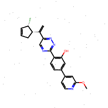 C=C(c1cnc(-c2ccc(-c3ccnc(OC)c3)cc2O)nn1)[C@@H]1CC=C[C@@H]1F